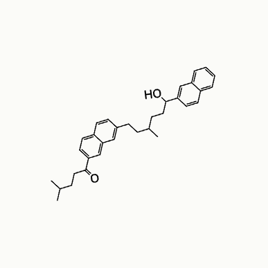 CC(C)CCC(=O)c1ccc2ccc(CCC(C)CCC(O)c3ccc4ccccc4c3)cc2c1